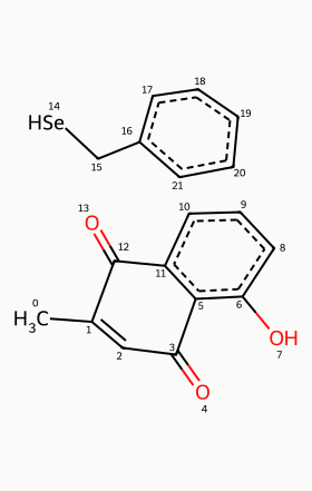 CC1=CC(=O)c2c(O)cccc2C1=O.[SeH]Cc1ccccc1